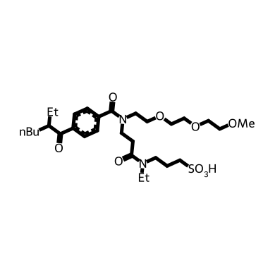 CCCCC(CC)C(=O)c1ccc(C(=O)N(CCOCCOCCOC)CCC(=O)N(CC)CCCS(=O)(=O)O)cc1